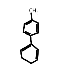 Cc1ccc(C2=CCCC=C2)cc1